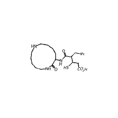 CC(C)CC(C(=O)NC1CCCCNCCCCCNC1=O)C(S)CC(=O)O